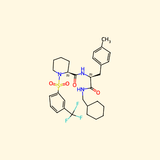 Cc1ccc(C[C@H](NC(=O)[C@@H]2CCCCN2S(=O)(=O)c2cccc(C(F)(F)F)c2)C(=O)NCC2CCCCC2)cc1